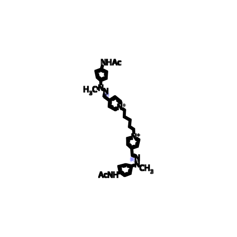 CC(=O)Nc1ccc(N(C)/N=C/c2cc[n+](CCCCC[n+]3ccc(/C=N/N(C)c4ccc(NC(C)=O)cc4)cc3)cc2)cc1